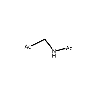 [CH2]C(=O)NCC(C)=O